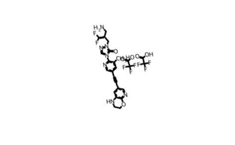 Cc1cc(C#Cc2cnc3c(c2)NCCO3)cnc1-n1cnn(CC(CN)=C(F)F)c1=O.O=C(O)C(F)(F)F.O=C(O)C(F)(F)F